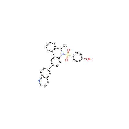 CCC1c2ccccc2-c2cc(-c3ccc4ncccc4c3)ccc2N1S(=O)(=O)c1ccc(O)cc1